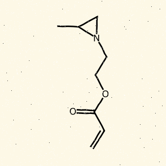 C=CC(=O)OCCN1CC1C